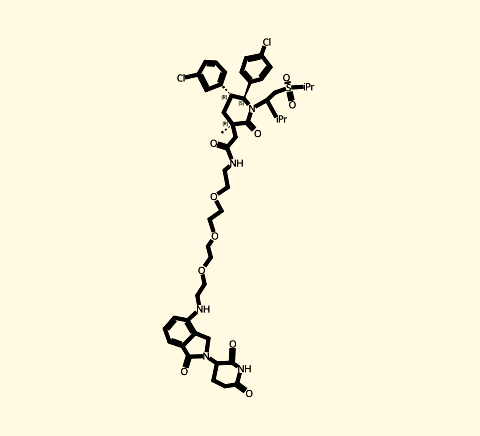 CC(C)C(CS(=O)(=O)C(C)C)N1C(=O)[C@@](C)(CC(=O)NCCOCCOCCOCCNc2cccc3c2CN(C2CCC(=O)NC2=O)C3=O)C[C@H](c2cccc(Cl)c2)[C@H]1c1ccc(Cl)cc1